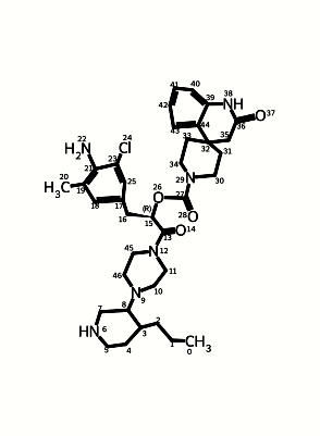 CCCC1CCNCC1N1CCN(C(=O)[C@@H](Cc2cc(C)c(N)c(Cl)c2)OC(=O)N2CCC3(CC2)CC(=O)Nc2ccccc23)CC1